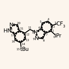 CC(C)c1c(C(F)(F)F)ccc2c1cnn2Cc1cc(C(C)(C)C)cc2[nH]ncc12